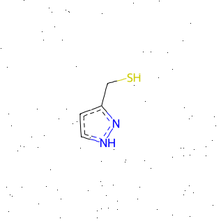 SCc1cc[nH]n1